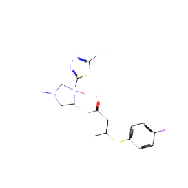 CC(CC(=O)OC1CN(C)C[N+]1([O-])c1nnc(C(C)(C)C)s1)Sc1ccc(I)cc1